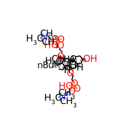 CCCC[C@@H](C)[C@H]1CC[C@H]2[C@@H]3[C@H](OCCOP(=O)(O)OCC[N+](C)(C)C)C[C@@H]4C[C@H](O)CC[C@]4(C)[C@H]3C[C@H](OCCOP(=O)(O)OCC[N+](C)(C)C)[C@]12C